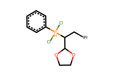 CC(C)CC(C1OCCO1)[PH](Cl)(Cl)c1ccccc1